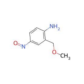 COCc1cc(N=O)ccc1N